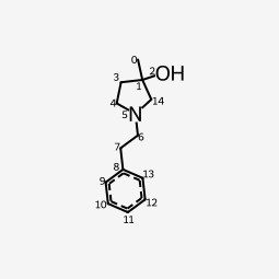 CC1(O)CCN(CCc2ccccc2)C1